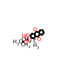 Cc1c(OC(=O)OC(C)(C)C)c(O)cc2c1C(=O)c1ccccc1C2=O